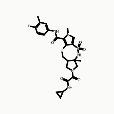 Cc1cc(NC(=O)c2c3c(cn2C)S(=O)(=O)NC2(C)CN(C(=O)C(=O)NC4CC4)CC2CO3)ccc1F